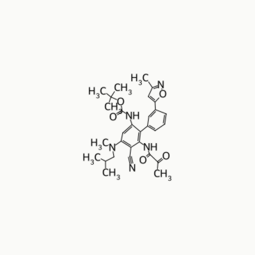 CC(=O)C(=O)Nc1c(C#N)c(N(C)CC(C)C)cc(NC(=O)OC(C)(C)C)c1-c1cccc(-c2cc(C)no2)c1